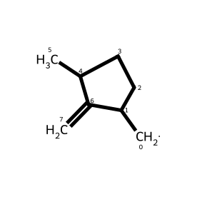 [CH2]C1CCC(C)C1=C